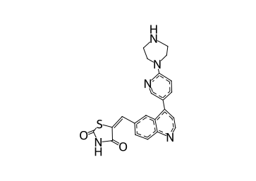 O=C1NC(=O)/C(=C\c2ccc3nccc(-c4ccc(N5CCNCC5)nc4)c3c2)S1